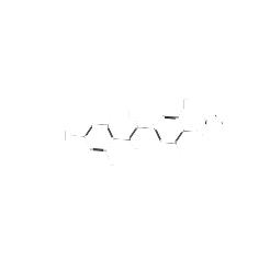 Bc1cc(F)c(/C(F)=C(\F)c2cc(F)c(SC#N)c(F)c2)c(F)c1